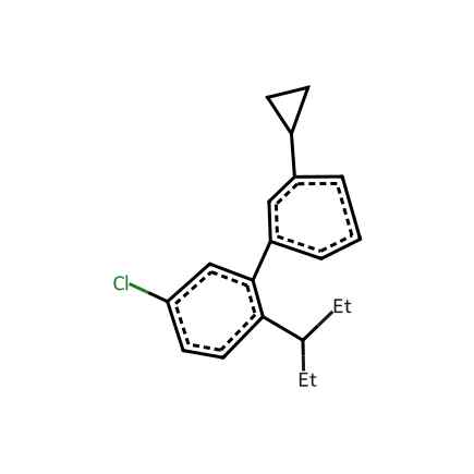 CCC(CC)c1ccc(Cl)cc1-c1cccc(C2CC2)c1